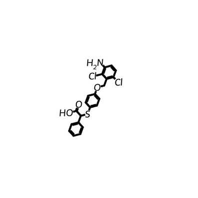 Nc1ccc(Cl)c(COc2ccc(SC(C(=O)O)c3ccccc3)cc2)c1Cl